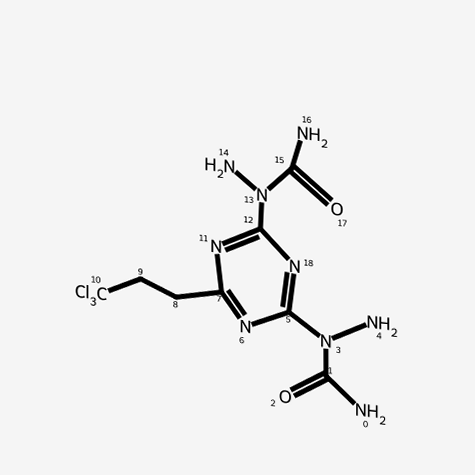 NC(=O)N(N)c1nc(CCC(Cl)(Cl)Cl)nc(N(N)C(N)=O)n1